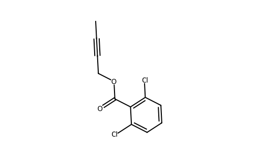 CC#CCOC(=O)c1c(Cl)cccc1Cl